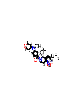 CN(C1CCOCC1)[C@@H]1CC[C@](CC(F)(F)F)(C(=O)N2CCc3c(cc(C(F)(F)F)c[n+]3[O-])C2)C1